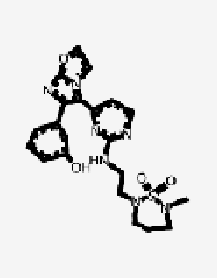 CN1CCCN(CCNc2nccc(-c3c(-c4cccc(O)c4)nc4occn34)n2)S1(=O)=O